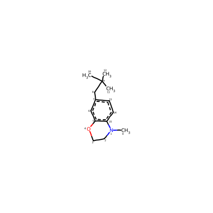 CN1CCOc2cc(CC(C)(C)C)ccc21